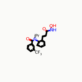 CC(C)N(C(=O)c1cccc(C(F)(F)F)c1)c1ccccc1C=CC(=O)NO